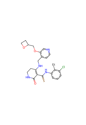 CCc1c(Cl)cccc1NC(=S)C1=C(NCc2ccncc2OCC2CCO2)CCNC1=O